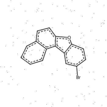 Brc1ccc2oc3ccc4ccccc4c3c2c1